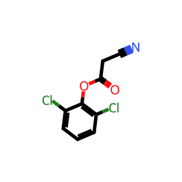 N#CCC(=O)Oc1c(Cl)cccc1Cl